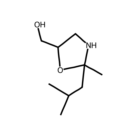 CC(C)CC1(C)NCC(CO)O1